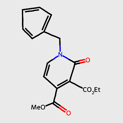 CCOC(=O)c1c(C(=O)OC)ccn(Cc2ccccc2)c1=O